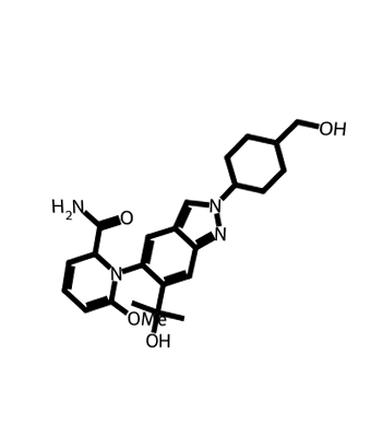 COC1=CC=CC(C(N)=O)N1c1cc2cn(C3CCC(CO)CC3)nc2cc1C(C)(C)O